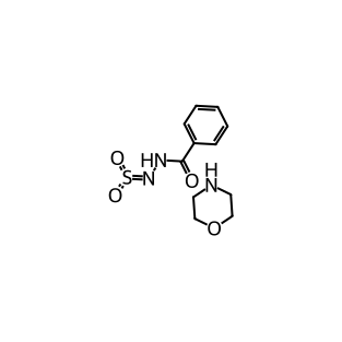 C1COCCN1.O=C(NN=S(=O)=O)c1ccccc1